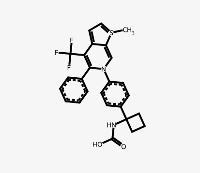 CS1=CC=C2C1=CN(c1ccc(C3(NC(=O)O)CCC3)cc1)C(c1ccccc1)=C2C(F)(F)F